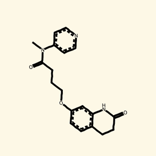 CN(C(=O)CCCOc1ccc2c(c1)NC(=O)CC2)c1ccncc1